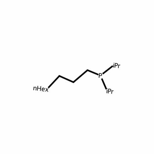 CCCCCCCCCP(C(C)C)C(C)C